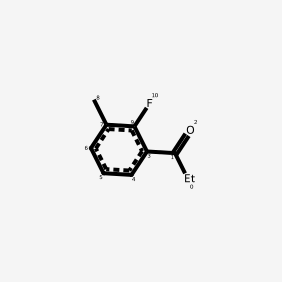 CCC(=O)c1cccc(C)c1F